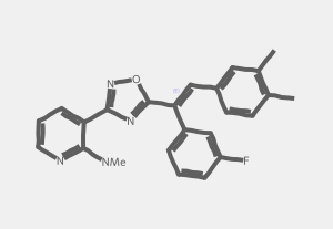 CNc1ncccc1-c1noc(/C(=C/c2ccc(C)c(C)c2)c2cccc(F)c2)n1